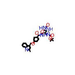 Cc1cc(COc2ccc(C(=O)NC[C@@H]3CN(C(=O)OC(C)(C)C)C[C@]34NC(=O)NC4=O)cc2)c2ccccc2n1